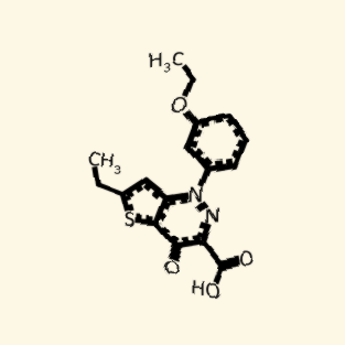 CCOc1cccc(-n2nc(C(=O)O)c(=O)c3sc(CC)cc32)c1